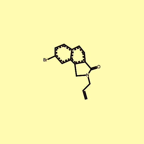 C=CCN1Cc2c(ccc3ccc(Br)cc23)C1=O